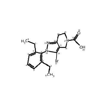 CCc1cccc(CC)c1-n1nc2c(c1Br)CN(C(=O)O)CC2